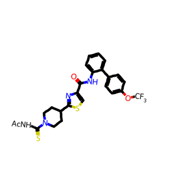 CC(=O)NC(=S)N1CCC(c2nc(C(=O)Nc3ccccc3-c3ccc(OC(F)(F)F)cc3)cs2)CC1